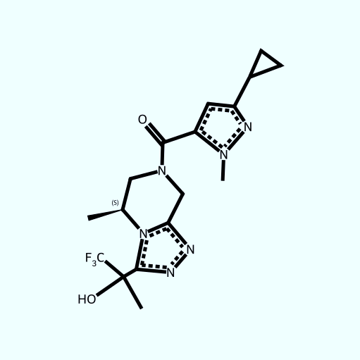 C[C@H]1CN(C(=O)c2cc(C3CC3)nn2C)Cc2nnc(C(C)(O)C(F)(F)F)n21